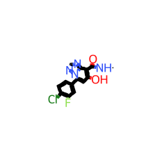 [NH]C(=O)c1c(O)cc(-c2ccc(Cl)c(F)c2)n2ncnc12